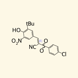 CC(C)(C)c1cc(/C=C(\C#N)S(=O)(=O)c2ccc(Cl)cc2)cc([N+](=O)[O-])c1O